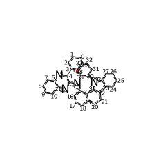 c1ccc(-c2nc3ccccc3nc2-n2c3cccc4ccc5c6ccccc6n(c6ccccc62)c5c43)cc1